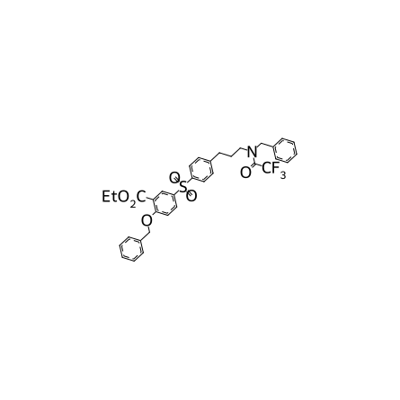 CCOC(=O)c1cc(S(=O)(=O)c2ccc(CCCN(Cc3ccccc3)C(=O)C(F)(F)F)cc2)ccc1OCc1ccccc1